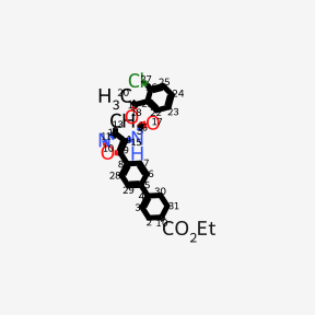 CCOC(=O)C1CC=C(c2ccc(-c3onc(C)c3NC(=O)OC(C)c3ccccc3Cl)cc2)CC1